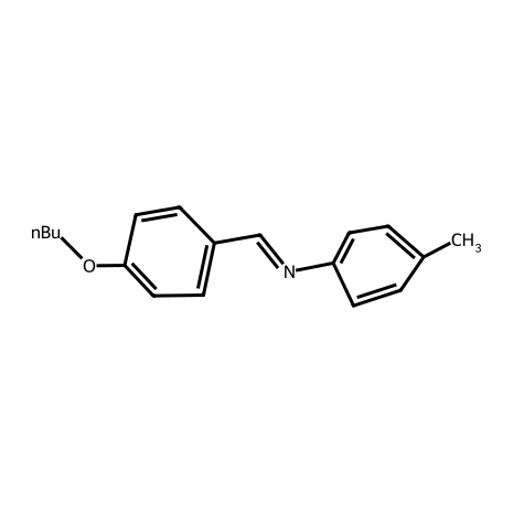 CCCCOc1ccc(/C=N/c2ccc(C)cc2)cc1